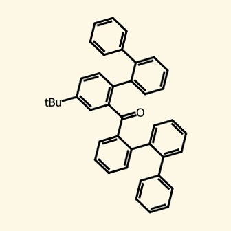 CC(C)(C)c1ccc(-c2ccccc2-c2ccccc2)c(C(=O)c2ccccc2-c2ccccc2-c2ccccc2)c1